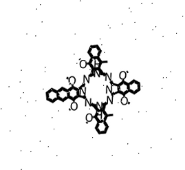 COc1c2c(c(OC)c3ccccc13)-c1nc-2nc2[nH]c(nc3nc(nc4[nH]c(n1)c1c(C)c5ccccc5c(OC)c41)-c1c-3c(OC)c3cc4ccccc4cc3c1OC)c1c(OC)c3ccccc3c(C)c21